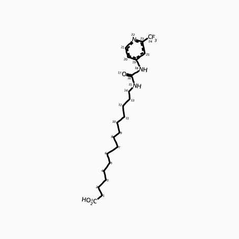 O=C(O)CCCCCCCCCCCCCCNC(=O)Nc1ccnc(C(F)(F)F)c1